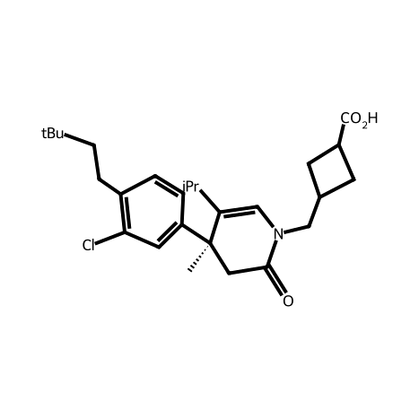 CC(C)C1=CN(CC2CC(C(=O)O)C2)C(=O)C[C@@]1(C)c1ccc(CCC(C)(C)C)c(Cl)c1